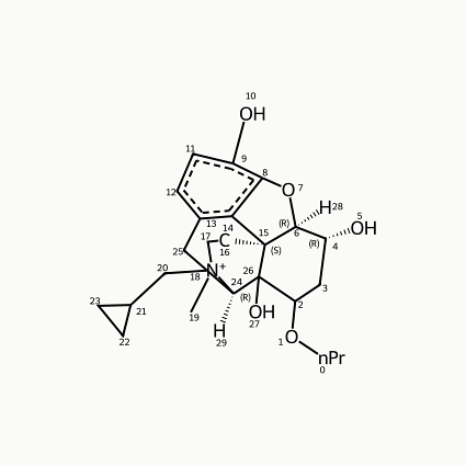 CCCOC1C[C@@H](O)[C@@H]2Oc3c(O)ccc4c3[C@@]23CC[N+](C)(CC2CC2)[C@H](C4)C13O